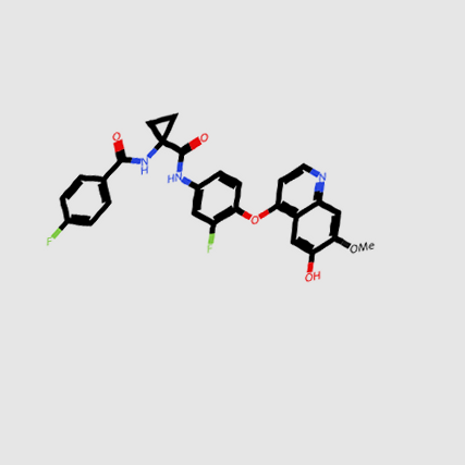 COc1cc2nccc(Oc3ccc(NC(=O)C4(NC(=O)c5ccc(F)cc5)CC4)cc3F)c2cc1O